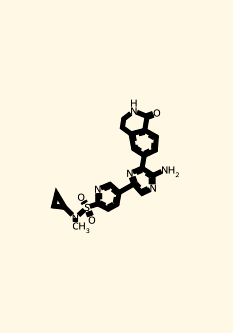 CN(C1CC1)S(=O)(=O)c1ccc(-c2cnc(N)c(-c3ccc4c(c3)CCNC4=O)n2)cn1